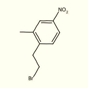 Cc1cc([N+](=O)[O-])ccc1CCBr